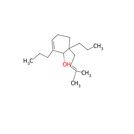 CCCC1=CCCC(CC=C(C)C)(CCC)C1O